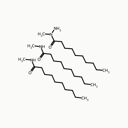 CCCCCCCCCC(=O)N(C)N.CCCCCCCCCC(=O)NC.CCCCCCCCCC(=O)NC